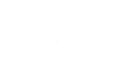 COc1cc(-c2ccc3c(c2)Nc2ccc(NC(=O)c4ccn[nH]4)cc2NC3=O)ccc1[N+](=O)[O-]